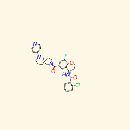 O=C(N[C@@H]1CCOc2c(F)cc(C(=O)N3CCC4(CCCN(c5ccncc5)C4)C3)cc21)c1ccccc1Cl